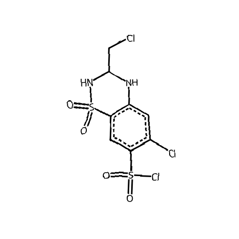 O=S(=O)(Cl)c1cc2c(cc1Cl)NC(CCl)NS2(=O)=O